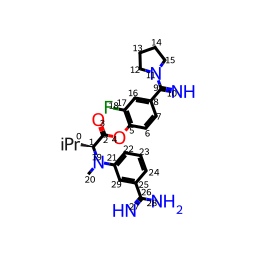 CC(C)[C@@H](C(=O)Oc1ccc(C(=N)N2CCCC2)cc1F)N(C)c1cccc(C(=N)N)c1